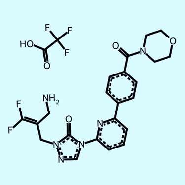 NCC(Cn1ncn(-c2cccc(-c3ccc(C(=O)N4CCOCC4)cc3)n2)c1=O)=C(F)F.O=C(O)C(F)(F)F